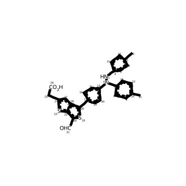 Cc1ccc(NN(c2ccc(C)cc2)c2ccc(-c3sc(C=O)c4sc(CC(=O)O)cc34)cc2)cc1